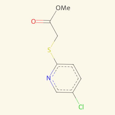 COC(=O)CSc1ccc(Cl)cn1